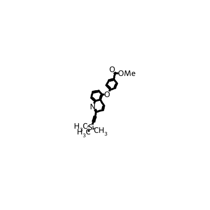 COC(=O)c1ccc(Oc2cccc3nc(C#C[Si](C)(C)C)ccc23)cc1